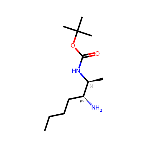 CCCC[C@@H](N)[C@H](C)NC(=O)OC(C)(C)C